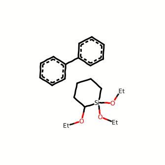 CCOC1CCCC[Si]1(OCC)OCC.c1ccc(-c2ccccc2)cc1